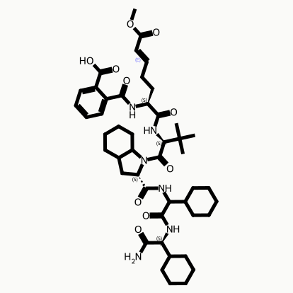 COC(=O)/C=C/CC[C@H](NC(=O)c1ccccc1C(=O)O)C(=O)N[C@H](C(=O)N1C2CCCCC2C[C@H]1C(=O)NC(C(=O)N[C@H](C(N)=O)C1CCCCC1)C1CCCCC1)C(C)(C)C